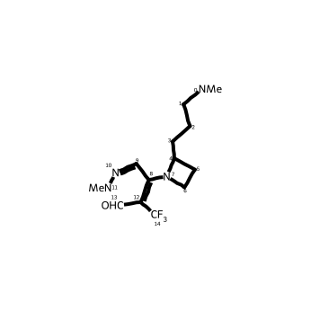 CNCCCC1CCN1C(/C=N\NC)=C(/C=O)C(F)(F)F